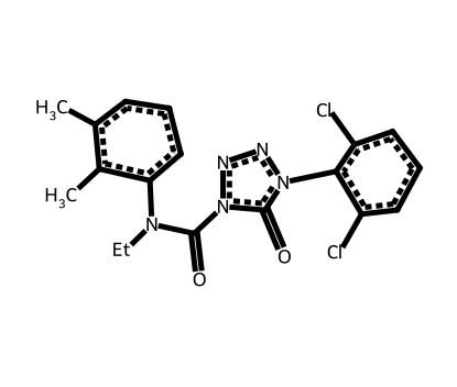 CCN(C(=O)n1nnn(-c2c(Cl)cccc2Cl)c1=O)c1cccc(C)c1C